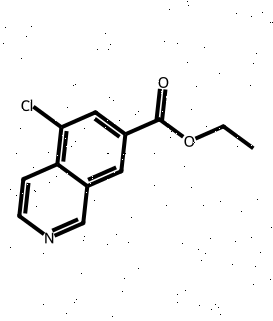 CCOC(=O)c1cc(Cl)c2ccncc2c1